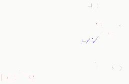 CC(OC(=O)Nc1cc(Cl)sc1-c1ccc(-c2ccc(C3(C(=O)O)CC3)cc2)cc1)c1cccs1